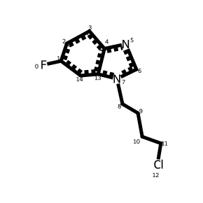 Fc1ccc2ncn(CCCCCl)c2c1